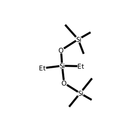 CC[Si](CC)(O[Si](C)(C)C)O[Si](C)(C)C